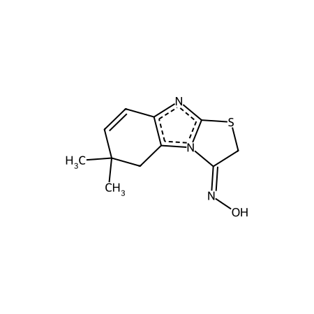 CC1(C)C=Cc2nc3n(c2C1)/C(=N/O)CS3